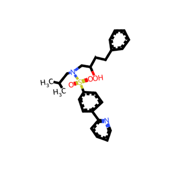 CC(C)CN(CC(O)[CH]Cc1ccccc1)S(=O)(=O)c1ccc(-c2ccccn2)cc1